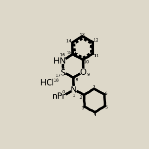 CCCN(C1CCCCC1)C1Oc2ccccc2NS1.Cl